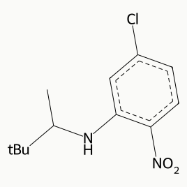 CC(Nc1cc(Cl)ccc1[N+](=O)[O-])C(C)(C)C